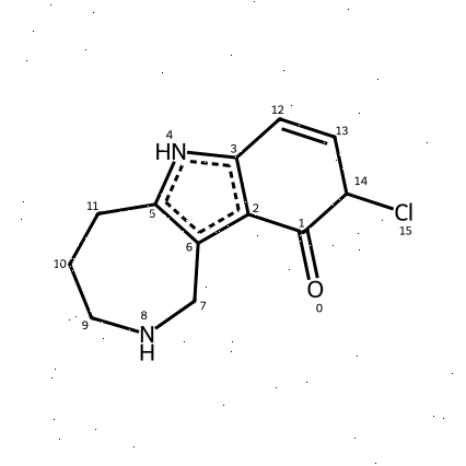 O=C1c2c([nH]c3c2CNCCC3)C=CC1Cl